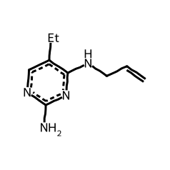 C=CCNc1nc(N)ncc1CC